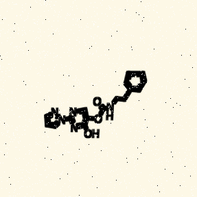 O=C(NCCc1ccccc1)Oc1cnc(-n2cccn2)nc1O